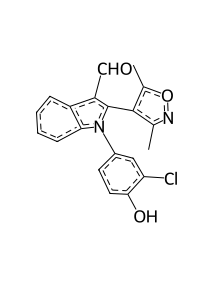 Cc1noc(C)c1-c1c(C=O)c2ccccc2n1-c1ccc(O)c(Cl)c1